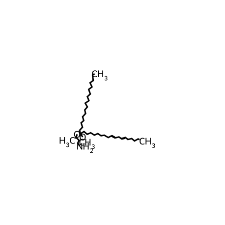 CCCCCC=CCC=CCCCCCCCCC1(CCCCCCCCCCCCCCCCCC)OC(C)C(C)(CN)O1